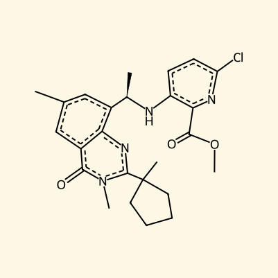 COC(=O)c1nc(Cl)ccc1N[C@H](C)c1cc(C)cc2c(=O)n(C)c(C3(C)CCCC3)nc12